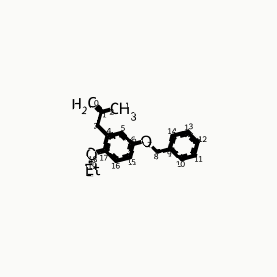 C=C(C)Cc1cc(OCc2ccccc2)ccc1OCC